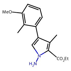 CCOC(=O)c1c(C)c(-c2cccc(OC)c2C)cn1N